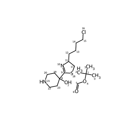 CC(C)(C)OC=O.OC1(C2=NC(CCCCCl)CS2)CCNCC1